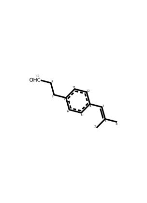 CC(C)=Cc1ccc(CCC=O)cc1